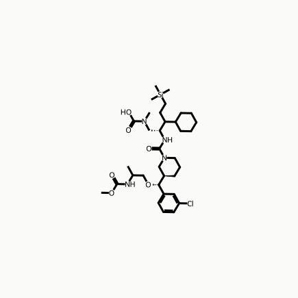 COC(=O)NC(C)CO[C@@H](c1cccc(Cl)c1)[C@@H]1CCCN(C(=O)N[C@H](CN(C)C(=O)O)C(CC[Si](C)(C)C)C2CCCCC2)C1